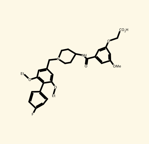 CCOc1cc(CN2CCC(NC(=O)c3cc(OC)cc(OCC(=O)O)c3)CC2)cc(OCC)c1-c1ccc(F)cc1